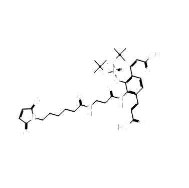 CC(C)(C)OP(=O)(Oc1c(C=CC(=O)O)ccc(C=CC(=O)O)c1NC(=O)CCNC(=O)CCCCCN1C(=O)C=CC1=O)OC(C)(C)C